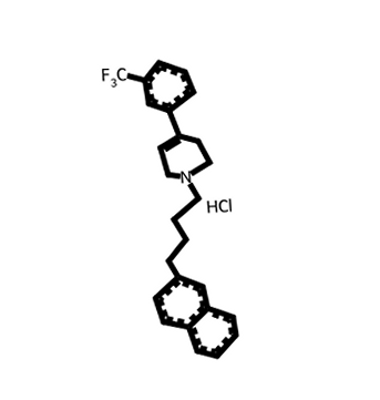 Cl.FC(F)(F)c1cccc(C2=CCN(CCCCc3ccc4ccccc4c3)CC2)c1